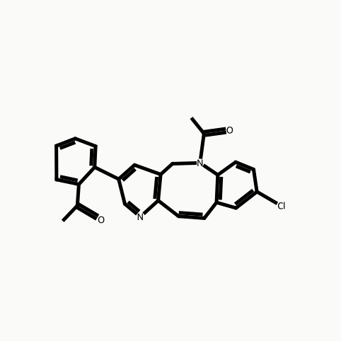 CC(=O)c1ccccc1-c1cnc2c(c1)CN(C(C)=O)c1ccc(Cl)cc1C=C2